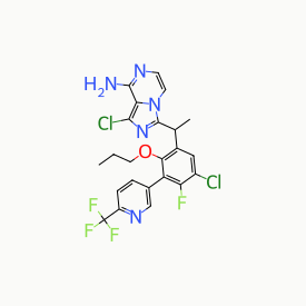 CCCOc1c(C(C)c2nc(Cl)c3c(N)nccn23)cc(Cl)c(F)c1-c1ccc(C(F)(F)F)nc1